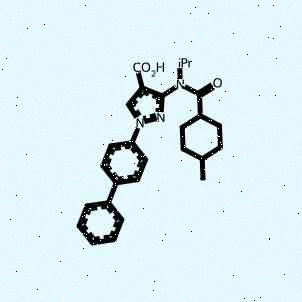 CC1CCC(C(=O)N(c2nn(-c3ccc(-c4ccccc4)cc3)cc2C(=O)O)C(C)C)CC1